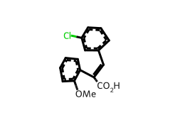 COc1ccccc1/C(=C\c1cccc(Cl)c1)C(=O)O